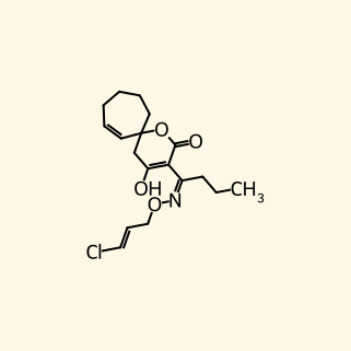 CCC/C(=N/OC/C=C/Cl)C1=C(O)CC2(C=CCCCC2)OC1=O